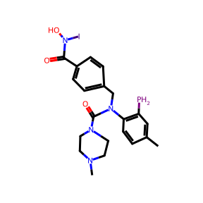 Cc1ccc(N(Cc2ccc(C(=O)N(O)I)cc2)C(=O)N2CCN(C)CC2)c(P)c1